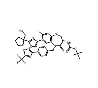 CC(C)(C)OC(=O)N[C@H]1CSc2cc(F)c(-c3noc(C4(CO)CCCO4)n3)cc2N(Cc2ccc(-c3noc(C(F)(F)F)n3)cc2)C1=O